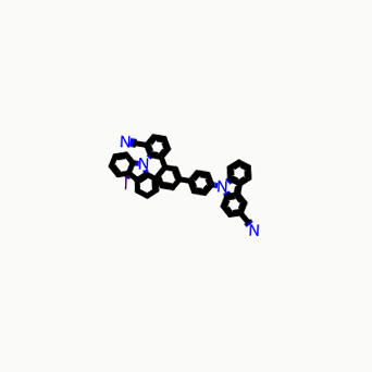 N#Cc1ccc2c(c1)c1ccccc1n2-c1ccc(C2=CC(c3cccc(C#N)c3N3C4=C(CCC=C4)C4(I)C=CC=CC34)CC=C2)cc1